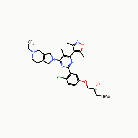 CNC[C@@H](O)COc1ccc(Cl)c(-c2nc(-c3c(C)noc3C)c(C)c(N3CC4=C(CN(CC(F)(F)F)CC4)C3)n2)c1